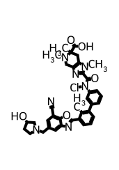 Cc1c(-c2cccc(N(Cl)C(=O)c3nc4c(n3C)CC(C)(C(=O)O)N(C)C4)c2)cccc1-c1nc2cc(CN3CCC(O)C3)cc(C#N)c2o1